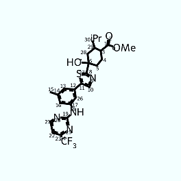 COC(=O)C1CCC(O)(c2ncc(-c3cc(C)cc(Nc4nccc(C(F)(F)F)n4)c3)s2)CC1C(C)C